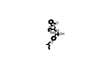 CCCC(C)COc1ccc([C@@H](NC(=O)C(CN2C(=O)c3ccccc3C2=O)c2cccs2)C(C)(C)O)cc1